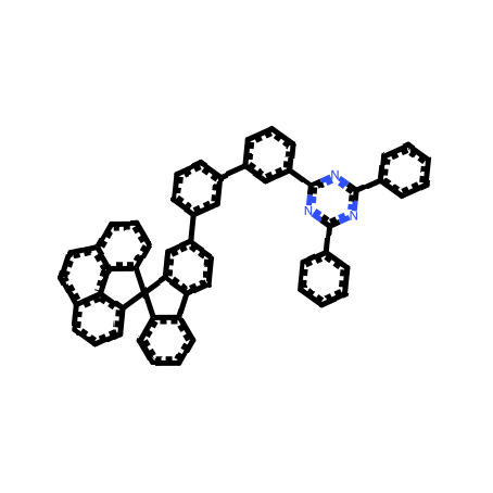 c1ccc(-c2nc(-c3ccccc3)nc(-c3cccc(-c4cccc(-c5ccc6c(c5)C5(c7ccccc7-6)c6cccc7ccc8cccc5c8c67)c4)c3)n2)cc1